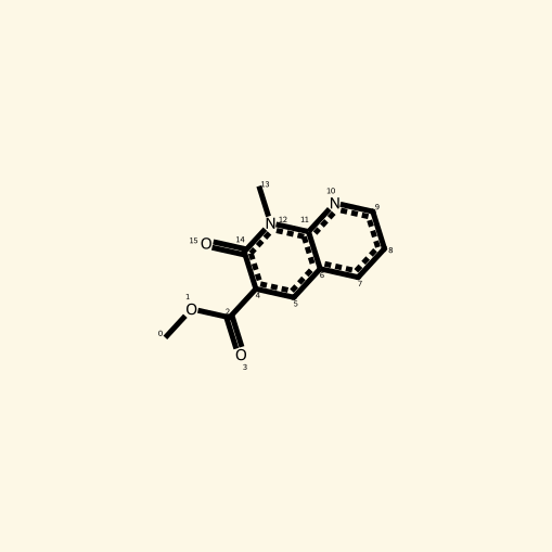 COC(=O)c1cc2cccnc2n(C)c1=O